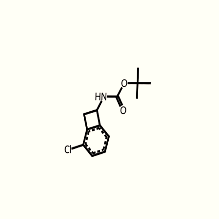 CC(C)(C)OC(=O)NC1Cc2c(Cl)cccc21